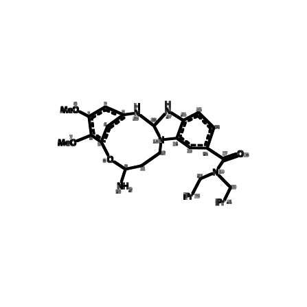 COc1cc2cc(c1OC)OC(N)CCN1c3cc(C(=O)N(CC(C)C)CC(C)C)ccc3NC1N2